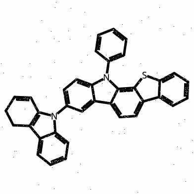 C1=Cc2c(c3ccccc3n2-c2ccc3c(c2)c2ccc4c5ccccc5sc4c2n3-c2ccccc2)CC1